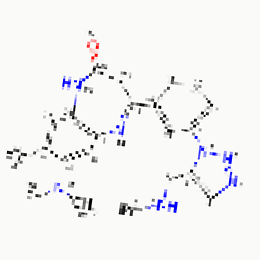 CC(C)NCc1cnnn1-c1cccc(C2=Nc3cc(N(C)C(C)C)c(C(F)(F)F)cc3NC(=O)C2)c1